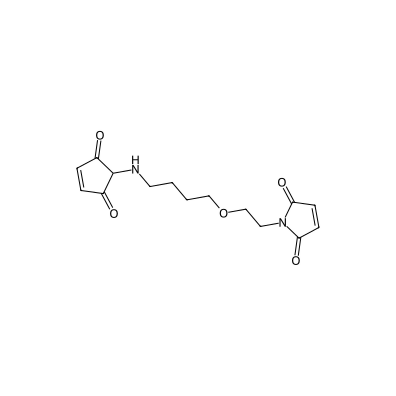 O=C1C=CC(=O)C1NCCCCOCCN1C(=O)C=CC1=O